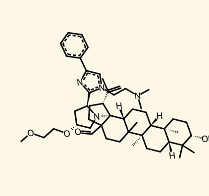 C=C(C)[C@H]1CCC2(C=O)CCC3(C)[C@@H](CC[C@@H]4[C@@]5(C)CC[C@H](O)C(C)(C)[C@@H]5CC[C@]43C)[C@]12N1C[C@H](OCCOC)C[C@H]1c1nc(-c2ccccc2)cn1CCN(C)C